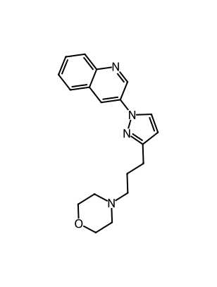 c1ccc2ncc(-n3ccc(CCCN4CCOCC4)n3)cc2c1